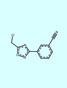 N#Cc1cccc(-c2noc(CCl)n2)c1